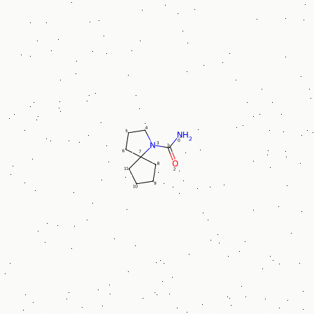 NC(=O)N1CCCC12CCCC2